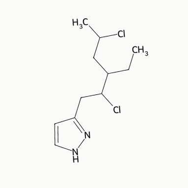 CCC(CC(C)Cl)C(Cl)Cc1cc[nH]n1